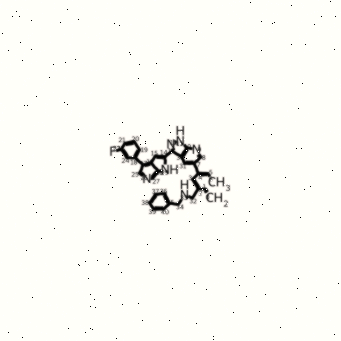 C=C/C(=C\C(=C/C)c1cnc2[nH]nc(-c3cc4c(-c5cccc(F)c5)cncc4[nH]3)c2c1)CNCc1ccccc1